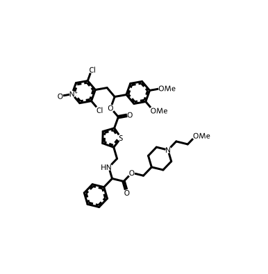 COCCN1CCC(COC(=O)C(NCc2ccc(C(=O)OC(Cc3c(Cl)c[n+]([O-])cc3Cl)c3ccc(OC)c(OC)c3)s2)c2ccccc2)CC1